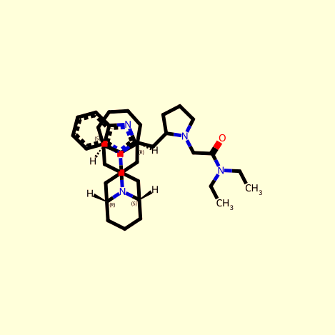 CCN(CC)C(=O)CN1CCCC1Cc1nc2ccccc2n1C1C[C@H]2CCC[C@@H](C1)N2C1C[C@H]2CCCC[C@@H](C1)C2